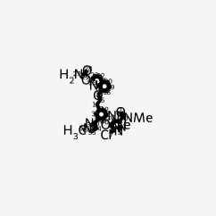 CNC(=O)c1nnc(Cl)cc1Nc1cc(CCOc2cccc3ccc(OC(N)=O)nc23)cc(-c2ccn(C)n2)c1OC